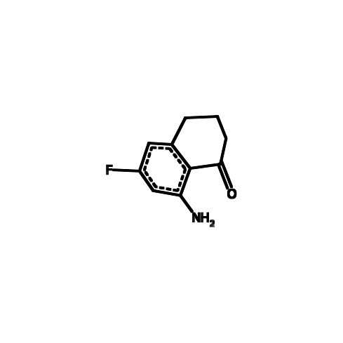 Nc1cc(F)cc2c1C(=O)CCC2